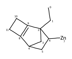 CCC12CC(C[CH]1[Zn])C1=C2CC1